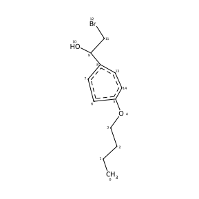 CCCCOc1ccc(C(O)CBr)cc1